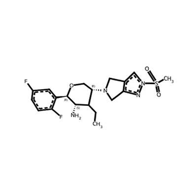 CCC1[C@H](N)[C@@H](c2cc(F)ccc2F)OC[C@@H]1N1Cc2cn(S(C)(=O)=O)nc2C1